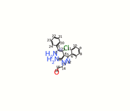 N/C(=C(/Cl)c1c(-c2ccccc2)nn(CC=O)c1N)c1ccccc1